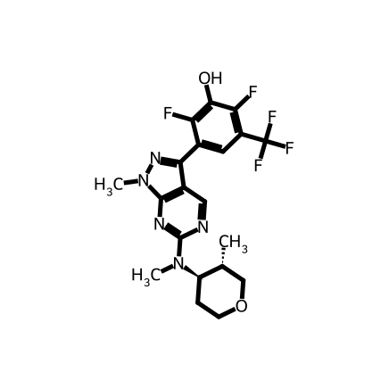 C[C@@H]1COCC[C@H]1N(C)c1ncc2c(-c3cc(C(F)(F)F)c(F)c(O)c3F)nn(C)c2n1